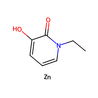 CCn1cccc(O)c1=O.[Zn]